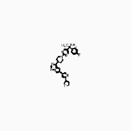 C[C@](N)(c1ccc(F)cc1)c1cnc(N2CC=C(c3ncnn4cc(-c5cnn([C@H]6CCOC6)c5)cc34)CC2)nc1